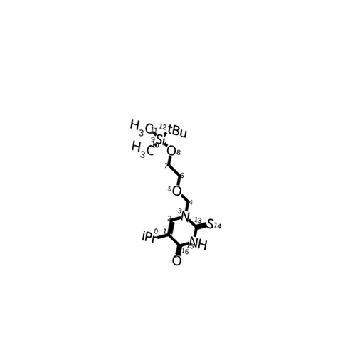 CC(C)c1cn(COCCO[Si](C)(C)C(C)(C)C)c(=S)[nH]c1=O